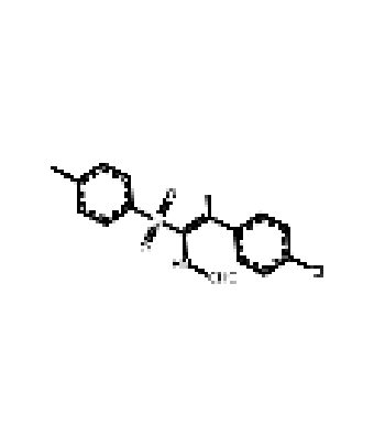 Cc1ccc(S(=O)(=O)C(NC=O)=C(I)c2ccc(Cl)cc2)cc1